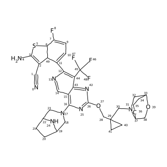 N#CC1=C(N)SC2C(F)=CC=C(c3ncc4c(N5CC6CCC(C5)N6)nc(OCC5(CN6CC7CCCC6CO7)CC5)nc4c3C(F)(F)F)C12